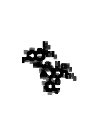 CC[C@@]1(C)CC(=O)N(C(c2cncc(F)c2)[C@@H]2C[C@H]2C(=O)N[C@H]2CC(C)(C)Oc3ccc(F)cc32)C(=N)N1